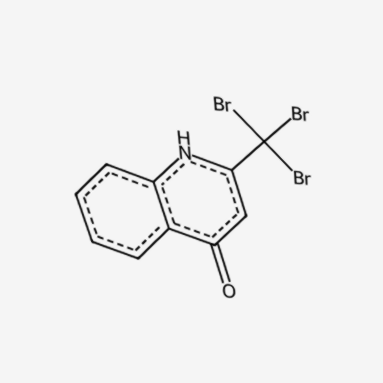 O=c1cc(C(Br)(Br)Br)[nH]c2ccccc12